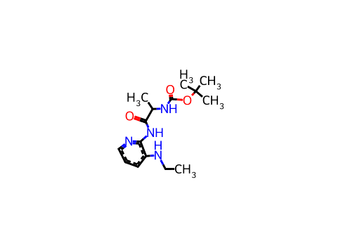 CCNc1cccnc1NC(=O)C(C)NC(=O)OC(C)(C)C